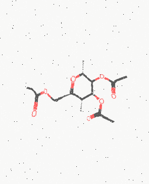 CC(=O)OC[C@H]1O[C@H](C)C(OC(C)=O)[C@@H](OC(C)=O)[C@@H]1C